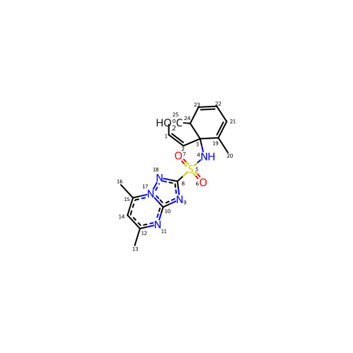 C/C=C\C1(NS(=O)(=O)c2nc3nc(C)cc(C)n3n2)C(C)=CC=CC1C(=O)O